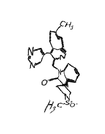 Cc1ccc2c(-c3cncnc3)c(CN3C(=O)C4(CN([S+](C)[O-])C4)c4ccccc43)ncc2c1